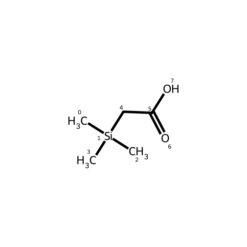 C[Si](C)(C)CC(=O)O